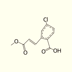 COC(=O)C=Cc1cc(Cl)ccc1C(=O)O